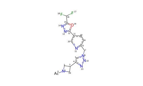 CC(=O)N1CC(c2cn(Cc3ccc(-c4nnc(C(F)F)o4)cn3)nn2)C1